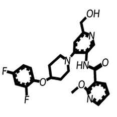 COc1ncccc1C(=O)Nc1cnc(CO)cc1N1CCC(Oc2ccc(F)cc2F)CC1